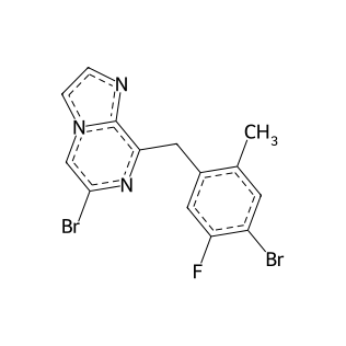 Cc1cc(Br)c(F)cc1Cc1nc(Br)cn2ccnc12